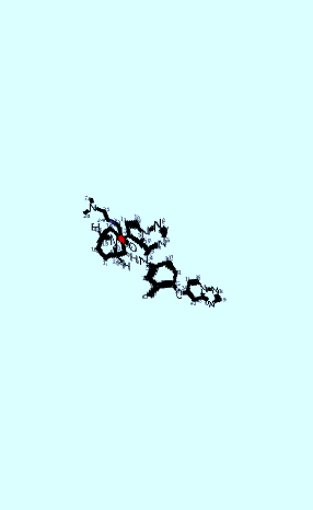 Cc1cc(Nc2ncnn3ccc([C@@H]4C[C@H]5CC[C@@H](C4)N5C(=O)/C=C/CN(C)C)c23)ccc1Oc1ccn2ncnc2c1